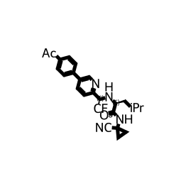 CC(=O)c1ccc(-c2ccc([C@H](N[C@@H](CC(C)C)C(=O)NC3(C#N)CC3)C(F)(F)F)nc2)cc1